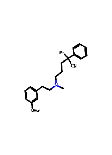 COc1cccc(CCN(C)CCCC(C#N)(c2ccccc2)C(C)C)c1